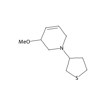 COC1C=CCN(C2CCSC2)C1